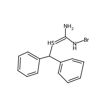 NC(NBr)=[SH]C(c1ccccc1)c1ccccc1